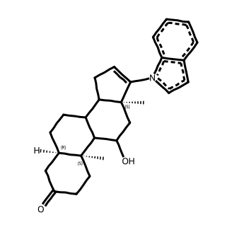 C[C@]12CC(O)C3C(CC[C@@H]4CC(=O)CC[C@]34C)C1CC=C2n1ccc2ccccc21